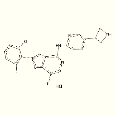 Cl.Fc1cccc(Cl)c1-n1cc2c(Nc3ccc(C4CNC4)cn3)ncc(F)c2n1